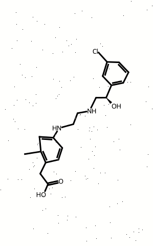 Cc1cc(NCCNC[C@H](O)c2cccc(Cl)c2)ccc1CC(=O)O